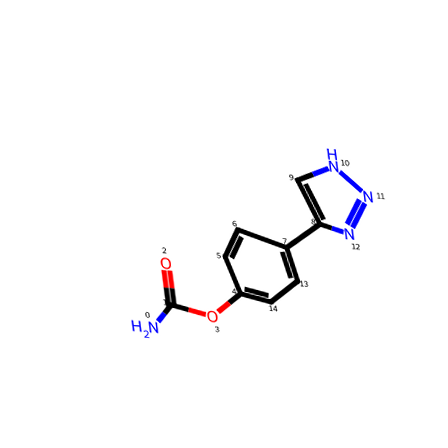 NC(=O)Oc1ccc(-c2c[nH]nn2)cc1